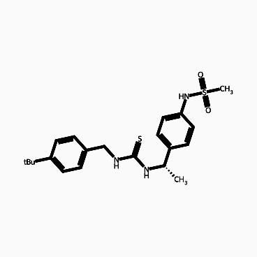 C[C@H](NC(=S)NCc1ccc(C(C)(C)C)cc1)c1ccc(NS(C)(=O)=O)cc1